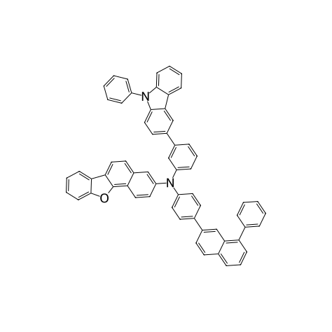 c1ccc(-c2cccc3ccc(-c4ccc(N(c5cccc(-c6ccc7c(c6)c6ccccc6n7-c6ccccc6)c5)c5ccc6c(ccc7c8ccccc8oc67)c5)cc4)cc23)cc1